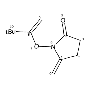 C=C1CCC(=O)N1OC(=C)C(C)(C)C